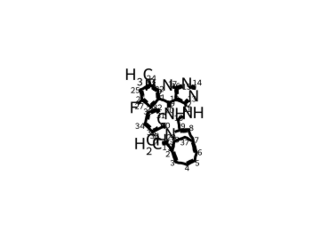 C=C1/C2=C/C=C\C=C(\C=C(\CNc3ncnc(N)c3C(=N)c3cc(C)cc(F)c3)N1c1ccccc1C)CC2